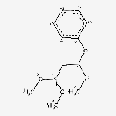 CCC(C[SiH](OC)OC)Oc1ccccc1